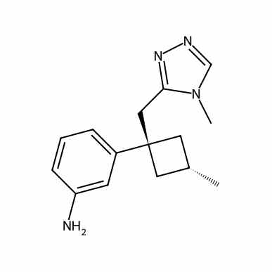 Cn1cnnc1C[C@]1(c2cccc(N)c2)C[C@@H](C)C1